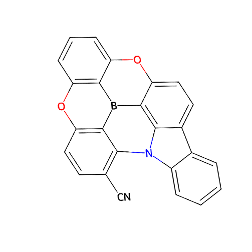 N#Cc1ccc2c3c1-n1c4ccccc4c4ccc5c(c41)B3c1c(cccc1O5)O2